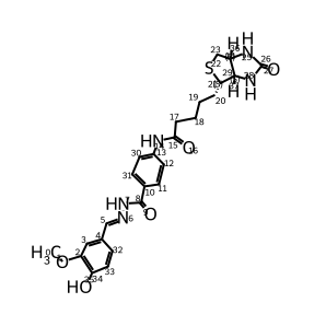 COc1cc(C=NNC(=O)c2ccc(NC(=O)CCCC[C@@H]3SC[C@@H]4NC(=O)N[C@@H]43)cc2)ccc1O